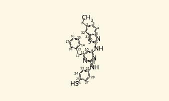 CCc1ccc2nc(Nc3cc(Cc4ccccc4)nc(Nc4ccc(S)cc4)n3)sc2c1